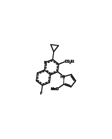 CCOC(=O)c1c(C2CC2)nc2ccc(F)cc2c1[SH]1C=CC=C1OC